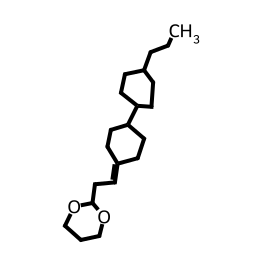 CCCC1CCC(C2CCC(=CCC3OCCCO3)CC2)CC1